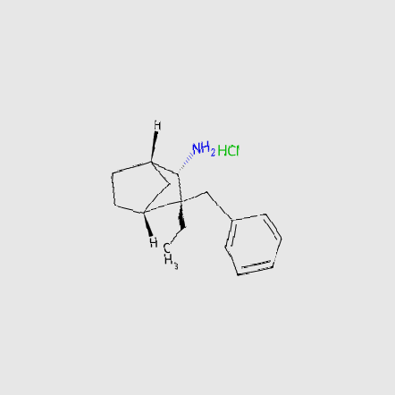 CC[C@@]1(Cc2ccccc2)[C@@H]2CC[C@@H](C2)[C@@H]1N.Cl